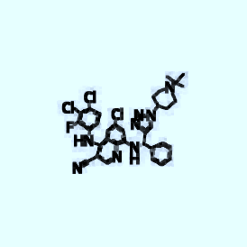 CC(C)(C)N1CCC(n2cc([C@@H](Nc3cc(Cl)cc4c(Nc5ccc(Cl)c(Cl)c5F)c(C#N)cnc34)c3ccccc3)nn2)CC1